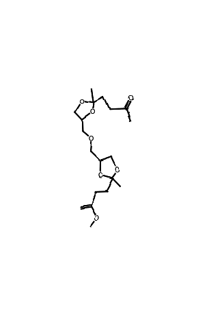 C=C(CCC1(C)OCC(COCC2COC(C)(CCC(C)=O)O2)O1)OC